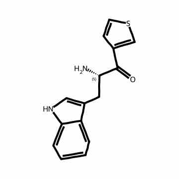 N[C@@H](Cc1c[nH]c2ccccc12)C(=O)c1ccsc1